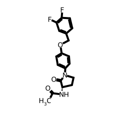 CC(=O)N[C@H]1CCN(c2ccc(OCc3ccc(F)c(F)c3)cc2)C1=O